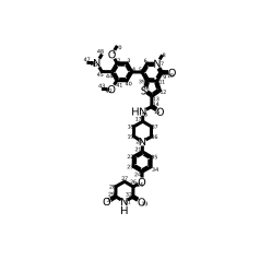 COc1cc(-c2cn(C)c(=O)c3cc(C(=O)NC4CCN(c5ccc(OC6CCC(=O)NC6=O)cc5)CC4)sc23)cc(OC)c1CN(C)C